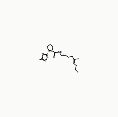 CCCC=C(C)CC/C=C/NC(=O)N1CCC[C@H]1c1nsc(C)n1